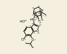 CC(C)Oc1c(Cl)ccc2c(N[C@@H]3C4CCN(CC4)C3(C)C)noc12.Cl